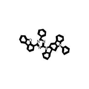 c1ccc(-c2nc(-c3cccc4c3oc3ccccc34)nc(-n3c4ccccc4c4cc5c(cc43)c3ccccc3n5-c3ccccc3)n2)cc1